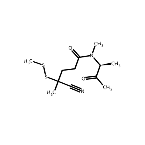 CSSC(C)(C#N)CCC(=O)N(C)[C@@H](C)C(C)=O